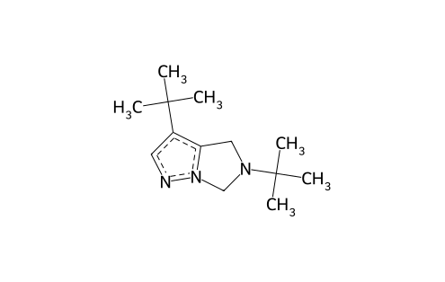 CC(C)(C)c1cnn2c1CN(C(C)(C)C)C2